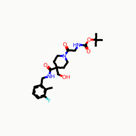 Cc1c(F)cccc1CNC(=O)C1(CO)CCN(C(=O)CNC(=O)OC(C)(C)C)CC1